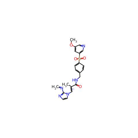 C=Nc1nccn1/C=C(\C)C(=O)NCc1ccc(S(=O)(=O)c2cncc(OC)c2)cc1